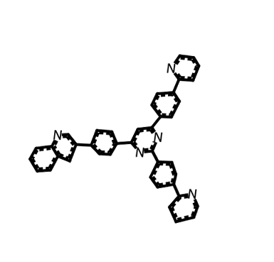 c1ccc(-c2ccc(-c3cc(-c4ccc(-c5cnc6ccccc6c5)cc4)nc(-c4ccc(-c5ccccn5)cc4)n3)cc2)nc1